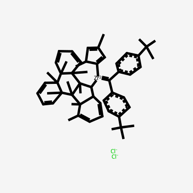 CC1=CC(C)[C]([Zr+2](=[C](c2ccc(C(C)(C)C)cc2)c2ccc(C(C)(C)C)cc2)[CH]2C3C=CC=C(C)C3(C)C3(C)C4(C)C=CC=CC4(C)C4(C)C=CC=CC4(C)C23C)=C1.[Cl-].[Cl-]